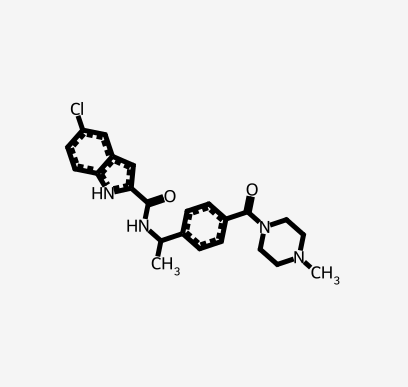 CC(NC(=O)c1cc2cc(Cl)ccc2[nH]1)c1ccc(C(=O)N2CCN(C)CC2)cc1